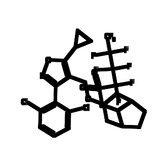 O=S(=O)(OC1C2CCC1CC(OCc1c(-c3c(Cl)cccc3Cl)noc1C1CC1)C2)C(F)(F)C(F)(F)C(F)(F)C(F)(F)F